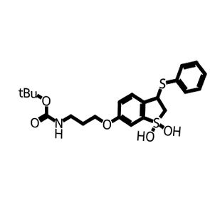 CC(C)(C)OC(=O)NCCCOc1ccc2c(c1)S(O)(O)CC2Sc1ccccc1